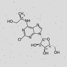 C[C@H](CO)Nc1nc(Cl)nc2c1ncn2[C@@H]1O[C@H](CO)[C@@H](O)[C@H]1O